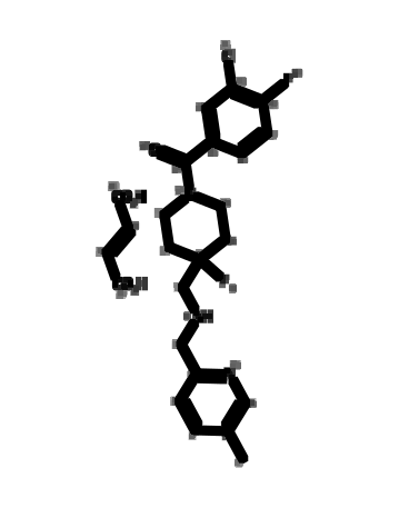 Cc1ccc(CNCC2(F)CCN(C(=O)c3ccc(F)c(Cl)c3)CC2)nc1.O=C(O)/C=C/C(=O)O